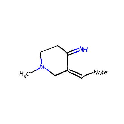 CN/C=C1/CN(C)CCC1=N